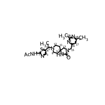 CC(=O)Nc1ncc([C@H](C)N2CCC3(CC2)CN(Cc2cc(C)nc(C)n2)C(=O)N3)s1